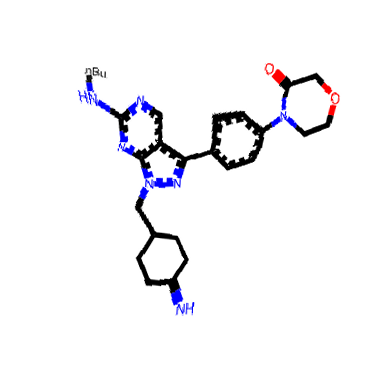 CCCCNc1ncc2c(-c3ccc(N4CCOCC4=O)cc3)nn(CC3CCC(=N)CC3)c2n1